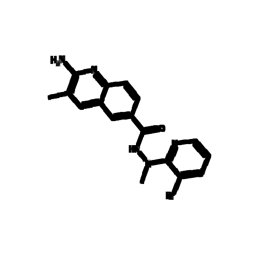 Cc1cc2cc(C(=O)NN(C)c3ncccc3Br)ccc2nc1N